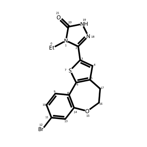 CCn1c(-c2cc3c(s2)-c2ccc(Br)cc2OCC3)n[nH]c1=O